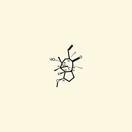 C=C[C@]1(C)C[C@@H](O)[C@]2(C)[C@H](C)CC[C@@]3(CC[C@@H](OC)[C@@H]32)[C@@H](C)C1=O